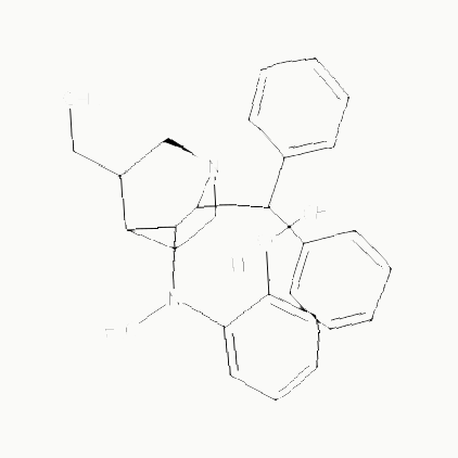 CCC1C[N@@]2CCC1C(N(C)c1ccccc1OC)[C@@H]2C(c1ccccc1)c1ccccc1